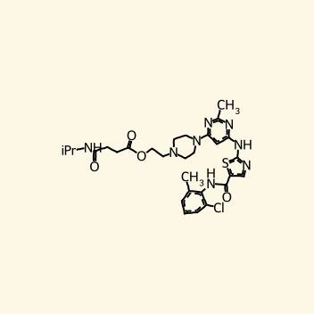 Cc1nc(Nc2ncc(C(=O)Nc3c(C)cccc3Cl)s2)cc(N2CCN(CCOC(=O)CCC(=O)NC(C)C)CC2)n1